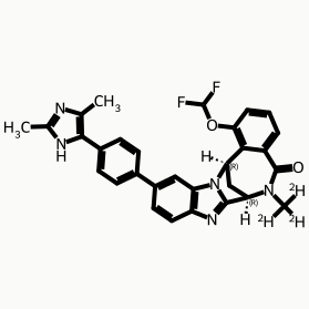 [2H]C([2H])([2H])N1C(=O)c2cccc(OC(F)F)c2[C@H]2C[C@@H]1c1nc3ccc(-c4ccc(-c5[nH]c(C)nc5C)cc4)cc3n12